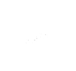 CC(NC(=O)c1ncnc(N)c1Cl)c1ccc(Nc2ccc(C(F)(F)F)cc2)nn1